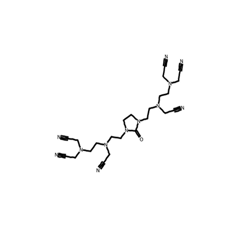 N#CCN(CC#N)CCN(CC#N)CCN1CCN(CCN(CC#N)CCN(CC#N)CC#N)C1=O